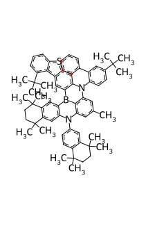 Cc1cc2c3c(c1)N(c1ccc(C(C)(C)C)cc1-c1ccccc1)c1cc4sc5cccc(C(C)(C)C)c5c4cc1B3c1cc3c(cc1N2c1ccc2c(c1)C(C)(C)CCC2(C)C)C(C)(C)CCC3(C)C